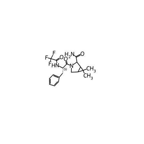 CC1(C)C2CN(C(=O)[C@H](Cc3ccccc3)NC(=O)C(F)(F)F)C(C(N)=O)C21